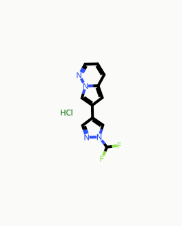 Cl.FC(F)n1cc(-c2cc3cccnn3c2)cn1